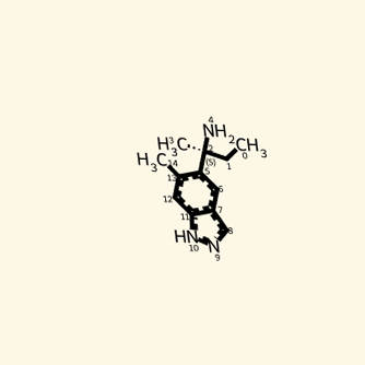 CC[C@](C)(N)c1cc2cn[nH]c2cc1C